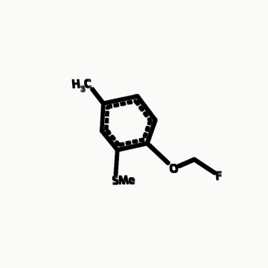 CSc1cc(C)ccc1OCF